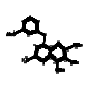 COc1cccc(Cc2nc(N)nc3c(OC)c(OC)c(OC)cc23)c1